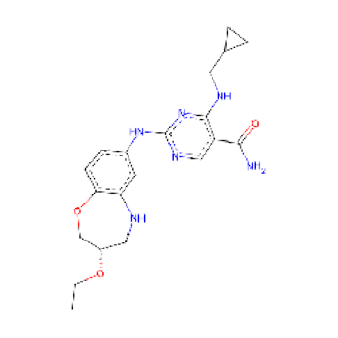 CCO[C@H]1CNc2cc(Nc3ncc(C(N)=O)c(NCC4CC4)n3)ccc2OC1